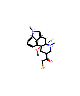 CO[C@]12CC(C(=O)CBr)CN(C)[C@@H]1Cc1cn(C)c3cccc2c13